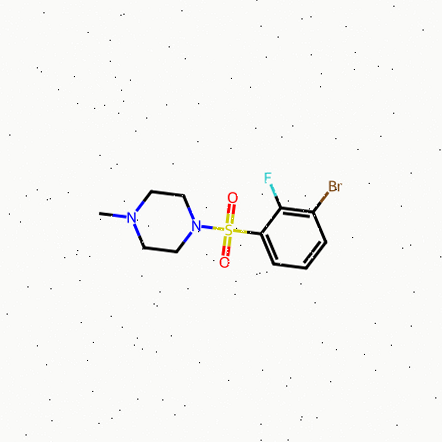 CN1CCN(S(=O)(=O)c2cccc(Br)c2F)CC1